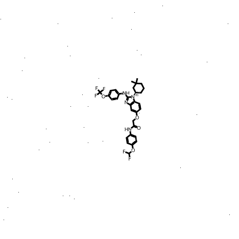 CC1(C)CCC[C@@H](n2c(Nc3ccc(OC(F)(F)F)cc3)nc3cc(OCC(=O)Nc4ccc(OC(F)F)cc4)ccc32)C1